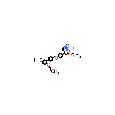 CCCCOc1ccc(C)cc1-c1ccc(COc2ccc(C(CC(=O)OCC)c3ccn(C)n3)cc2)cc1